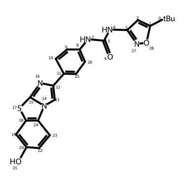 CC(C)(C)c1cc(NC(=O)Nc2ccc(-c3cn4c(n3)sc3cc(O)ccc34)cc2)no1